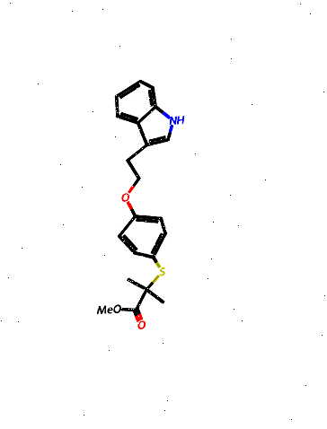 COC(=O)C(C)(C)Sc1ccc(OCCc2c[nH]c3ccccc23)cc1